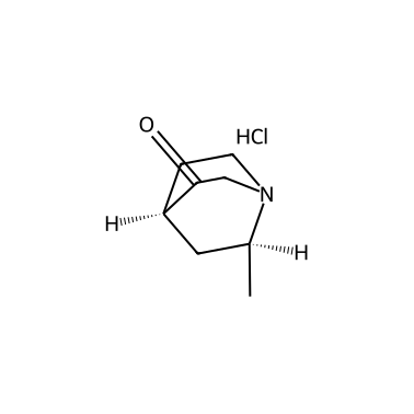 C[C@H]1C[C@H]2CCN1CC2=O.Cl